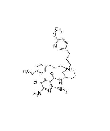 COc1ccc(CCC[N+]2(CCCc3ccc(OC)nc3)CCC[C@H](NC(=O)c3nc(Cl)c(N)nc3N)C2)cn1